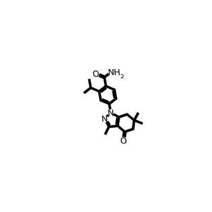 Cc1nn(-c2ccc(C(N)=O)c(C(C)C)c2)c2c1C(=O)CC(C)(C)C2